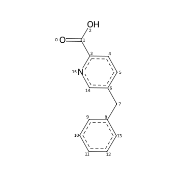 O=C(O)c1ccc(Cc2ccccc2)cn1